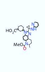 COC(=O)N1c2ccc3c(nc(C4(Nc5ccccn5)CC4)n3[C@@H]3CCC[C@@H](C(=O)O)C3)c2CCC1C